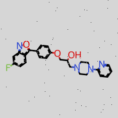 OC(COc1ccc(-c2onc3cc(F)ccc23)cc1)CN1CCN(c2ccccn2)CC1